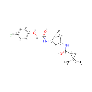 CC1(C)CC1C(=O)N[C@@H]1C[C@H](NC(=O)COc2ccc(Cl)cc2)C2CC21